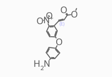 COC(=O)/C=C/c1cc(Oc2ccc(N)cc2)ccc1[N+](=O)[O-]